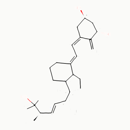 C=C1C(=CC=C2CCC[C@@]3(C)C2CC[C@@H]3[C@H](C)/C=C/[C@@H](C)C(C)(C)O)C[C@@H](O)C[C@@H]1O